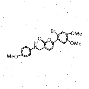 COc1ccc(NCc2ccc(-c3cc(OC)c(OC)cc3Br)oc2=O)cc1